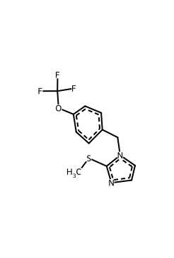 CSc1nccn1Cc1ccc(OC(F)(F)F)cc1